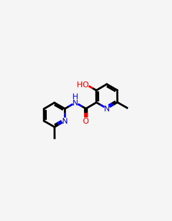 Cc1cccc(NC(=O)c2nc(C)ccc2O)n1